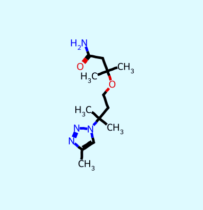 Cc1cn(C(C)(C)CCOC(C)(C)CC(N)=O)nn1